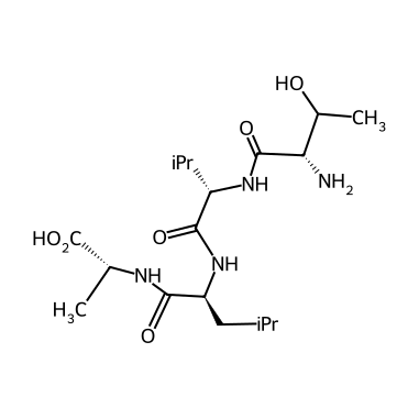 CC(C)C[C@H](NC(=O)[C@@H](NC(=O)[C@@H](N)C(C)O)C(C)C)C(=O)N[C@H](C)C(=O)O